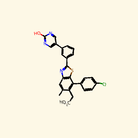 Cc1cc2nc(-c3cccc(-c4cnc(O)nc4)c3)sc2c(-c2ccc(Cl)cc2)c1CC(=O)O